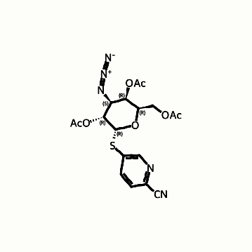 CC(=O)OC[C@H]1O[C@H](Sc2ccc(C#N)nc2)[C@H](OC(C)=O)[C@@H](N=[N+]=[N-])[C@H]1OC(C)=O